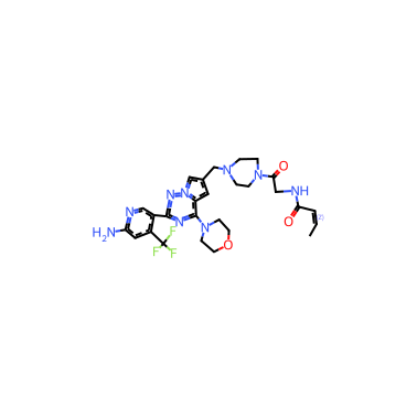 C/C=C\C(=O)NCC(=O)N1CCN(Cc2cc3c(N4CCOCC4)nc(-c4cnc(N)cc4C(F)(F)F)nn3c2)CC1